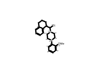 CCC(C1CCCc2ccccc21)N1CCN(c2ccccc2OC)CC1